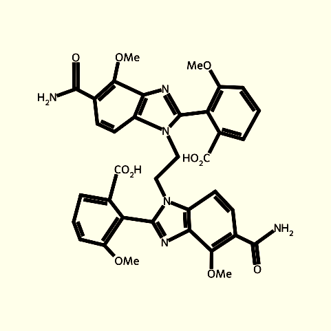 COc1cccc(C(=O)O)c1-c1nc2c(OC)c(C(N)=O)ccc2n1CCn1c(-c2c(OC)cccc2C(=O)O)nc2c(OC)c(C(N)=O)ccc21